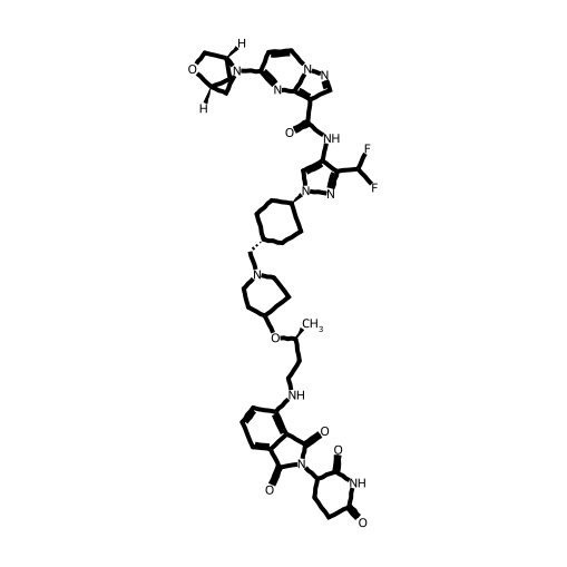 C[C@@H](CCNc1cccc2c1C(=O)N(C1CCC(=O)NC1=O)C2=O)OC1CCN(C[C@H]2CC[C@H](n3cc(NC(=O)c4cnn5ccc(N6C[C@H]7C[C@@H]6CO7)nc45)c(C(F)F)n3)CC2)CC1